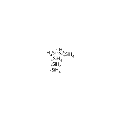 [SiH4].[SiH4].[SiH4].[SiH4].[SiH4].[SiH4]